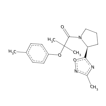 Cc1ccc(OC(C)(C)C(=O)N2CCC[C@H]2c2nc(C)no2)cc1